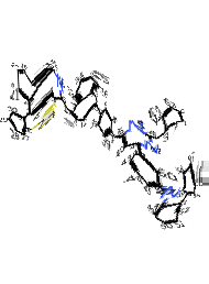 c1ccc(-c2nc(-c3ccc(-c4ccc(-c5nc6ccccc6c6c5sc5ccccc56)c5ccccc45)cc3)cc(-c3cccc(-n4c5ccccc5c5ccccc54)c3)n2)cc1